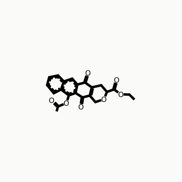 CCOC(=O)C1CC2=C(CO1)C(=O)c1c(cc3ccccc3c1OC(C)=O)C2=O